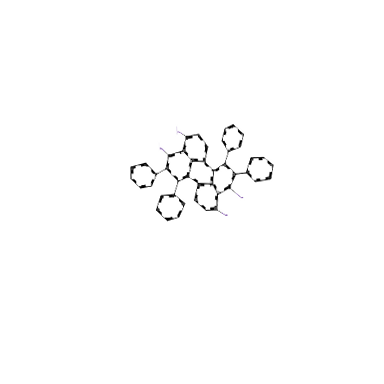 Ic1ccc2c3c(-c4ccccc4)c(-c4ccccc4)c(I)c4c(I)ccc(c5c(-c6ccccc6)c(-c6ccccc6)c(I)c1c25)c43